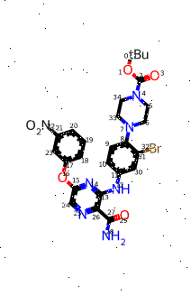 CC(C)(C)OC(=O)N1CCN(c2ccc(Nc3nc(Oc4cccc([N+](=O)[O-])c4)cnc3C(N)=O)cc2Br)CC1